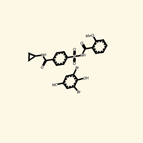 COc1ccccc1C(=O)NS(=O)(=O)c1ccc(C(=O)NC2CC2)cc1.N#Cc1cc(Br)c(O)c(Br)c1